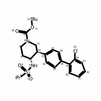 CC(C)S(=O)(=O)N[C@@H]1CCN(C(=O)OC(C)(C)C)C[C@H]1c1ccc(-c2ccccc2Cl)cc1